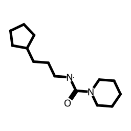 O=C([N]CCCC1CCCC1)N1CCCCC1